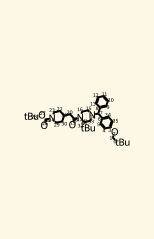 CC(C)(C)COc1ccc(C(c2ccccc2)N2CCN(C(=O)CC3CCN(C(=O)OC(C)(C)C)CC3)[C@@H](C(C)(C)C)C2)cc1